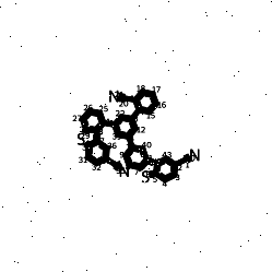 N#Cc1ccc2sc3ccc(-c4cc(-c5ccccc5C#N)cc(-c5cccc6sc7ccc(C#N)cc7c56)c4)cc3c2c1